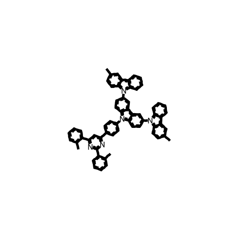 Cc1ccc2c(c1)c1ccccc1n2-c1ccc2c(c1)c1cc(-n3c4ccccc4c4cc(C)ccc43)ccc1n2-c1ccc(-c2cc(-c3ccccc3C)nc(-c3ccccc3C)n2)cc1